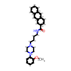 COc1ccccc1N1CCN(CCCCNC(=O)c2ccc3cc4ccccc4cc3c2)CC1